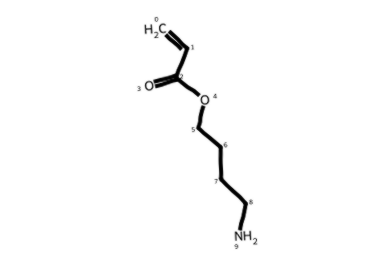 C=CC(=O)OCCCCN